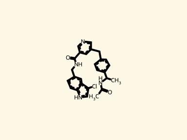 CC(=O)NC(C)c1ccc(Cc2cncc(C(=O)NCc3ccc4[nH]cc(Cl)c4c3)c2)cc1